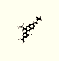 CCC(O)c1cc(C)c(-c2cc3cnc(NC(=O)[C@H]4CC4(F)F)cc3nc2C(=O)N(C)C)cn1